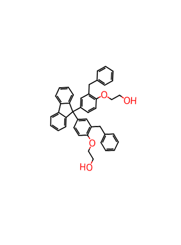 OCCOc1ccc(C2(c3ccc(OCCO)c(Cc4ccccc4)c3)c3ccccc3-c3ccccc32)cc1Cc1ccccc1